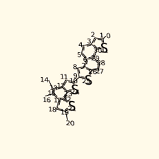 Cc1cc2ccc3c4cc(-c5cc6c(C)c(C)c7cc(C)sc7c6s5)sc4ccc3c2s1